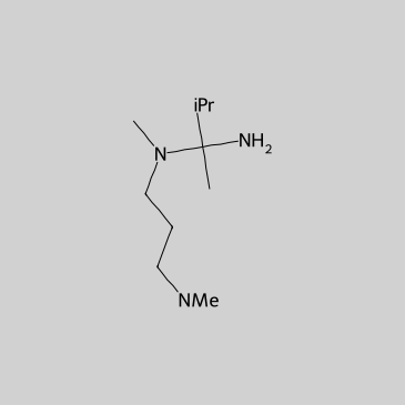 CNCCCN(C)C(C)(N)C(C)C